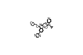 O=c1n(Cc2nc(OCC3CCOC3)c3cc(-c4cnccn4)ccc3n2)c2cnccc2n1C1CC1